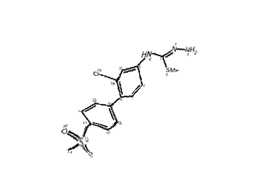 CS/C(=N\N)Nc1ccc(-c2ccc(S(C)(=O)=O)cc2)c(Cl)c1